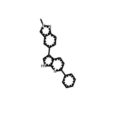 Cn1cc2cc(-c3c[nH]c4nc(-c5ccccc5)ccc34)ccc2n1